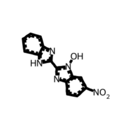 O=[N+]([O-])c1ccc2nc(-c3nc4ccccc4[nH]3)n(O)c2c1